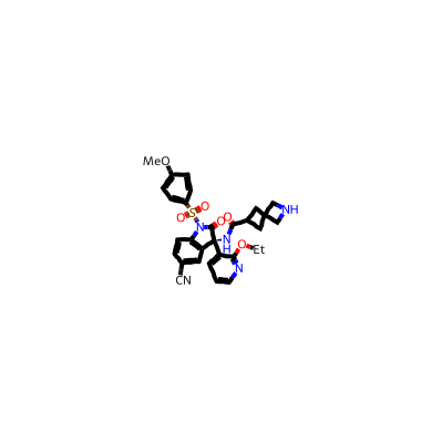 CCOc1ncccc1[C@]1(NC(=O)C2CC3(CNC3)C2)C(=O)N(S(=O)(=O)c2ccc(OC)cc2)c2ccc(C#N)cc21